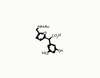 CC(=O)NCc1ccc(C(C(=O)O)c2cc(O)cc(O)c2)o1